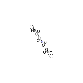 O=C(/C=C/C(=O)OCCOC(=O)NCC1CCCCC1)OCCOC(=O)NCC1CCCCC1